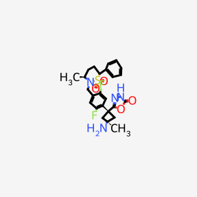 C[C@H]1CCC(c2ccccc2)S(=O)(=O)N1Cc1cc(F)c([C@]2(c3n[nH]c(=O)o3)C[C@](C)(N)C2)cc1F